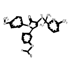 CC(C)(NC1=CC(c2cccc(OC(F)F)c2)N(c2ccc(OC(F)(F)F)cc2)C1=O)c1cccc(C(F)(F)F)n1